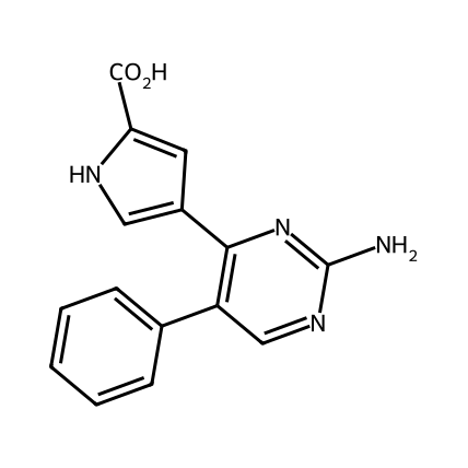 Nc1ncc(-c2ccccc2)c(-c2c[nH]c(C(=O)O)c2)n1